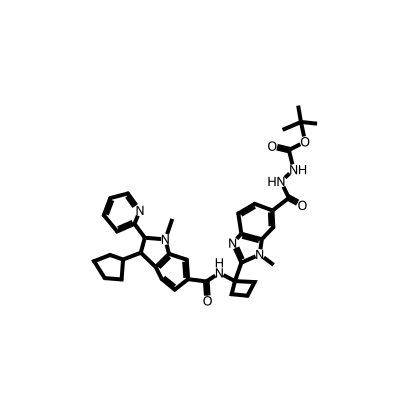 CN1c2cc(C(=O)NC3(c4nc5ccc(C(=O)NNC(=O)OC(C)(C)C)cc5n4C)CCC3)ccc2C(C2CCCC2)C1c1ccccn1